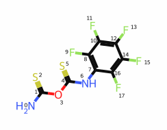 NC(=S)OC(=S)Nc1c(F)c(F)c(F)c(F)c1F